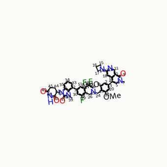 COc1cc(-c2cn(C)c(=O)c3cnc(N4CCC4)cc23)cc(OC)c1CN1Cc2c(F)cc(-c3cccc4c3n(C)c(=O)n4C3CCC(=O)NC3=O)cc2C(F)(F)C1